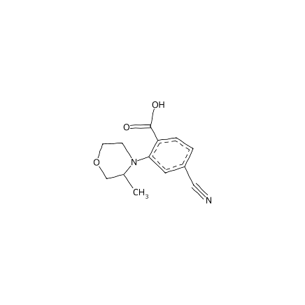 CC1COCCN1c1cc(C#N)ccc1C(=O)O